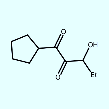 CCC(O)C(=O)C(=O)C1CCCC1